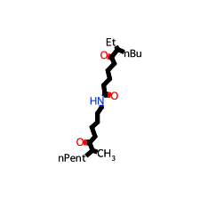 CCCCCC(C)C(=O)CCCCCNC(=O)CCCCC(=O)C(CC)CCCC